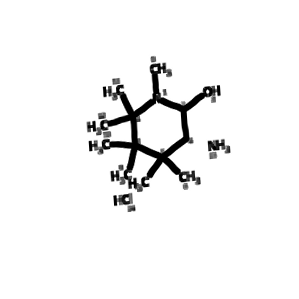 CN1C(O)CC(C)(C)C(C)(C)C1(C)C.Cl.N